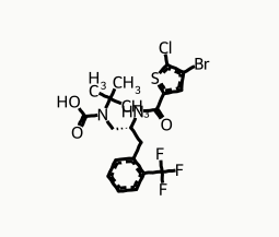 CC(C)(C)N(C[C@@H](Cc1ccccc1C(F)(F)F)NC(=O)c1cc(Br)c(Cl)s1)C(=O)O